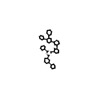 c1ccc(-c2cccc(-c3nc(-c4ccccc4)nc(-c4cccc5c4oc4c(-c6ccc(-c7ccccc7)c7c6sc6ccccc67)cccc45)n3)c2)cc1